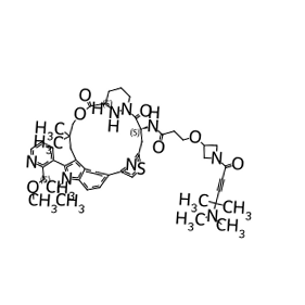 CCn1c(-c2cccnc2[C@H](C)OC)c2c3cc(ccc31)-c1csc(n1)C[C@H](NC(=O)CCOC1CN(C(=O)C#CC(C)(C)N(C)C)C1)C(=O)N1CCC[C@H](N1)C(=O)OCC(C)(C)C2